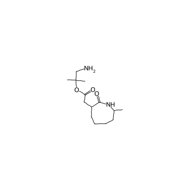 CC1CCCCC(CC(=O)OC(C)(C)CN)C(=O)N1